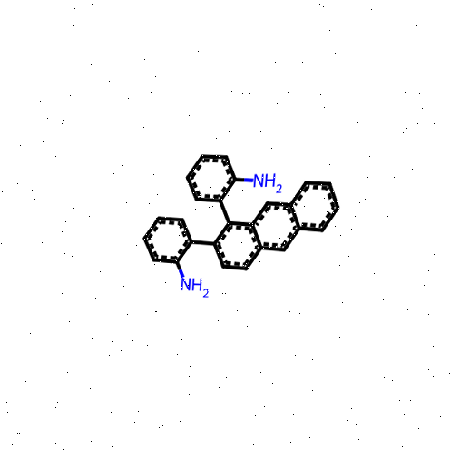 Nc1ccccc1-c1ccc2cc3ccccc3cc2c1-c1ccccc1N